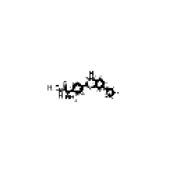 CNC(=O)[C@H](N)c1ccc(C(=O)Nc2cc(-c3cccs3)ccc2N)cc1